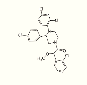 COC(C(=O)N1CCN(c2ccc(Cl)cc2Cl)C(c2ccc(Cl)cc2)C1)c1ccccc1Cl